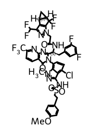 COc1ccc(CCS(=O)(=O)Nc2nn(C)c3c(-n4c([C@H](Cc5cc(F)cc(F)c5)NC(=O)Cn5nc(C(F)F)c6c5C(F)(F)[C@@H]5C[C@H]65)nc5nc(C(F)(F)F)ccc5c4=O)ccc(Cl)c23)cc1